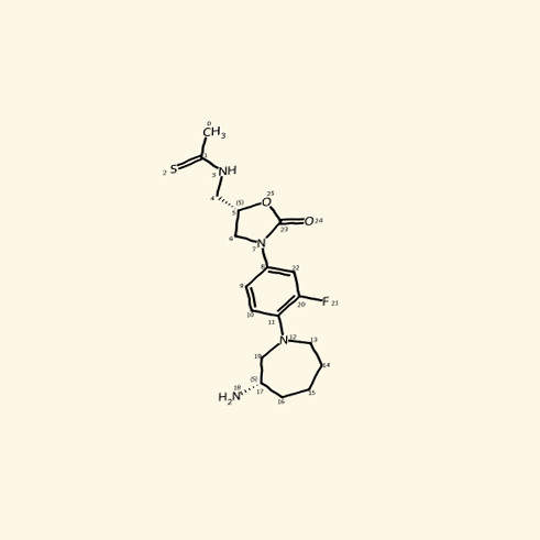 CC(=S)NC[C@H]1CN(c2ccc(N3CCCC[C@H](N)C3)c(F)c2)C(=O)O1